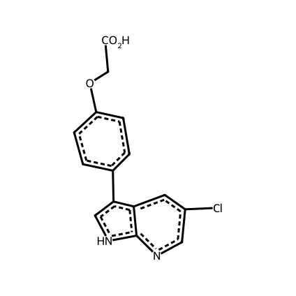 O=C(O)COc1ccc(-c2c[nH]c3ncc(Cl)cc23)cc1